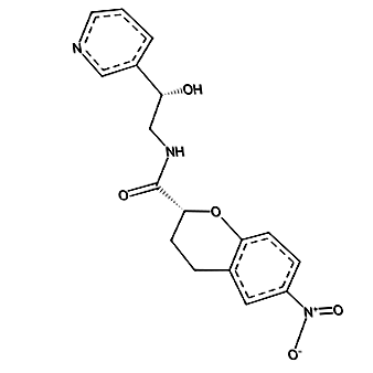 O=C(NC[C@@H](O)c1cccnc1)[C@H]1CCc2cc([N+](=O)[O-])ccc2O1